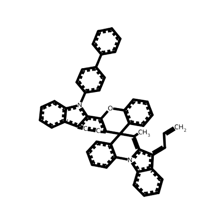 C=C/C=c1\c2n(c3ccccc13)-c1ccccc1C1(C=2C)c2ccccc2Oc2c1ccc1c3ccccc3n(-c3ccc(-c4ccccc4)cc3)c21